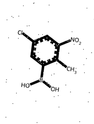 Cc1c(B(O)O)cc(Cl)cc1[N+](=O)[O-]